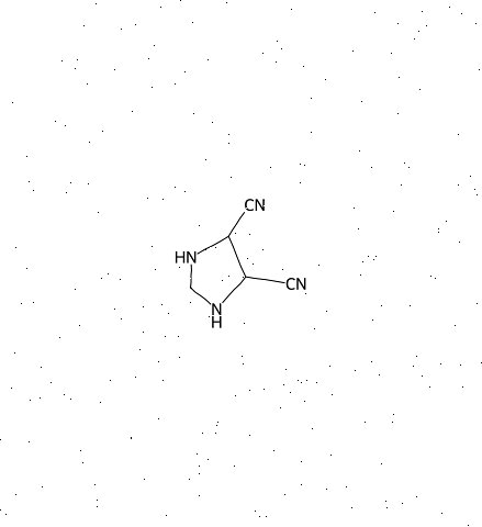 N#CC1NCNC1C#N